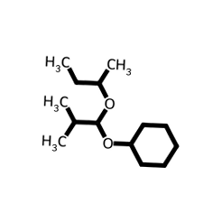 CCC(C)OC(OC1CCCCC1)C(C)C